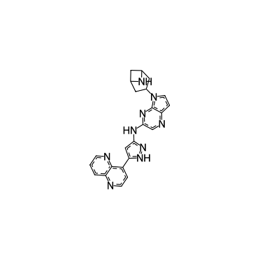 c1cnc2c(-c3cc(Nc4cnc5ccn(C6CC7CC(C6)N7)c5n4)n[nH]3)ccnc2c1